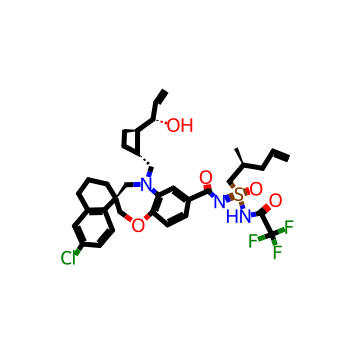 C=CC[C@H](C)CS(=O)(=NC(=O)c1ccc2c(c1)N(C[C@@H]1CC[C@H]1[C@@H](O)C=C)C[C@@]1(CCCc3cc(Cl)ccc31)CO2)NC(=O)C(F)(F)F